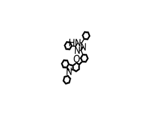 c1ccc(C2=NC(c3cccc4c3oc3c4ccc4c3c3ccccc3n4-c3ccccc3)=NC(c3ccccc3)N2)cc1